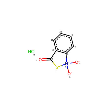 Cl.O=C1S[N+]([O-])([O-])c2ccccc21